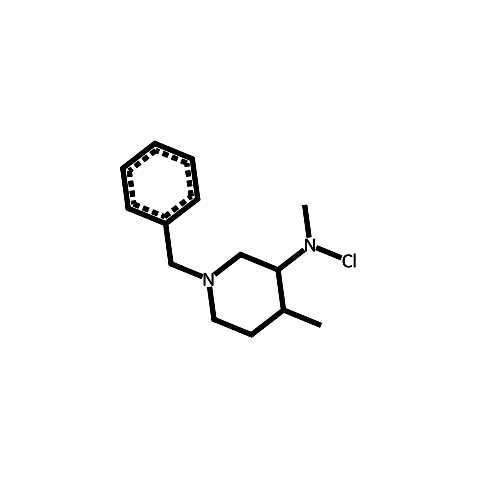 CC1CCN(Cc2ccccc2)CC1N(C)Cl